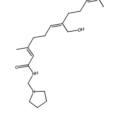 CC(C)=CCC/C(=C/CC/C(C)=C/C(=O)NCN1CCCC1)CO